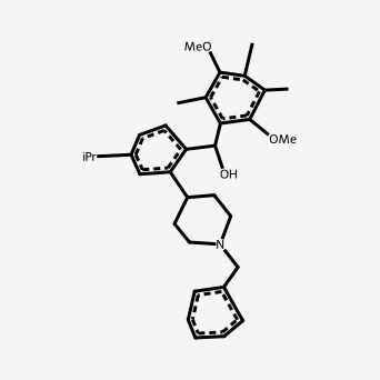 COc1c(C)c(C)c(OC)c(C(O)c2ccc(C(C)C)cc2C2CCN(Cc3ccccc3)CC2)c1C